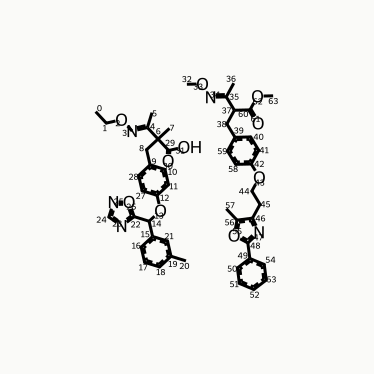 CCON=C(C)C(C)(Cc1ccc(OC(c2cccc(C)c2)c2ncno2)cc1)C(=O)O.CON=C(C)C(Cc1ccc(OCCc2nc(-c3ccccc3)oc2C)cc1)C(=O)OC